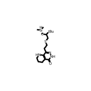 C[SiH](C)OC(CSCCc1n[nH]c(=O)c2c1NCCC2)C(C)(C)C